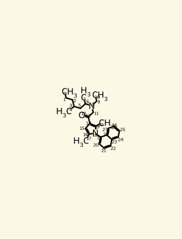 CCCC(C)CC(C)N(CC)CC(=O)c1cc(C)n(-c2cccc3ccccc23)c1C